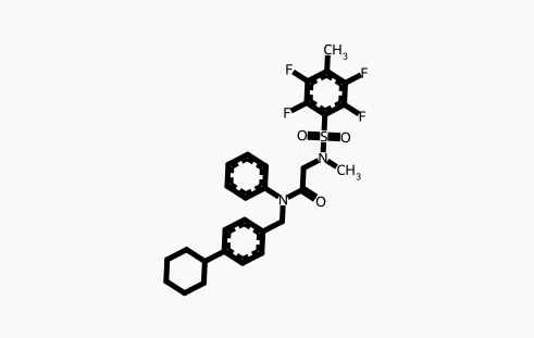 Cc1c(F)c(F)c(S(=O)(=O)N(C)CC(=O)N(Cc2ccc(C3CCCCC3)cc2)c2ccccc2)c(F)c1F